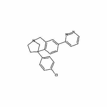 Clc1ccc(C23CCN(Cc4cc(-c5cccnn5)ccc42)C3)cc1